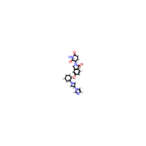 O=C1CCC(N2Cc3cc(O[C@H]4CCCC[C@@H]4N4CC(n5ccnc5)C4)ccc3C2=O)C(=O)N1